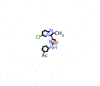 Br.CC(=O)c1cccc(Nc2nc(-c3c(C)nc4ccc(Cl)cn34)cs2)c1